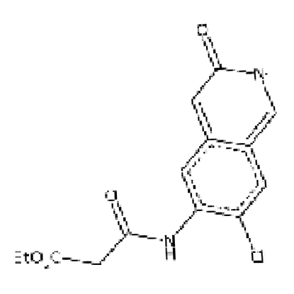 CCOC(=O)CC(=O)Nc1cc2c(cc1Cl)=C[N]C(=O)C=2